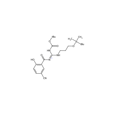 CC(C)(C)OC(=O)N/C(=N\C(=O)c1cc(C#N)ccc1O)NCCCO[Si](C)(C)C(C)(C)C